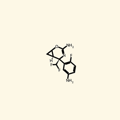 NC1=N[C@@](c2cc(N)ccc2F)(C(F)F)[C@H]2CC2O1